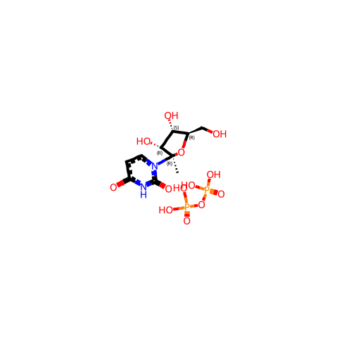 C[C@@]1(n2ccc(=O)[nH]c2=O)O[C@H](CO)[C@@H](O)[C@H]1O.O=P(O)(O)OP(=O)(O)O